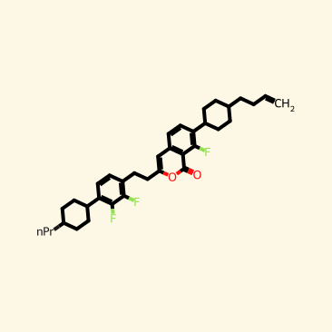 C=CCCC1CCC(c2ccc3cc(CCc4ccc(C5CCC(CCC)CC5)c(F)c4F)oc(=O)c3c2F)CC1